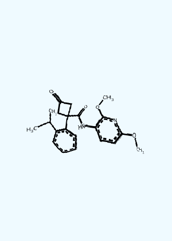 COc1ccc(NC(=O)C2(c3ccccc3C(C)C)CC(=O)C2)c(OC)n1